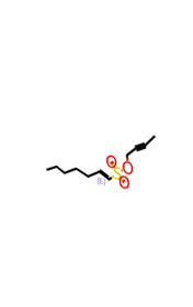 CC#CCOS(=O)(=O)/C=C/CCCCC